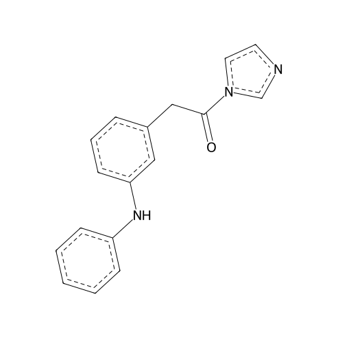 O=C(Cc1cccc(Nc2ccccc2)c1)n1ccnc1